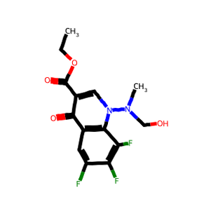 CCOC(=O)c1cn(N(C)CO)c2c(F)c(F)c(F)cc2c1=O